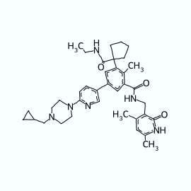 CCNC(=O)C1(c2cc(-c3ccc(N4CCN(CC5CC5)CC4)nc3)cc(C(=O)NCc3c(C)cc(C)[nH]c3=O)c2C)CCCC1